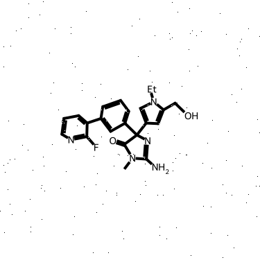 CCn1cc(C2(c3cccc(-c4cccnc4F)c3)N=C(N)N(C)C2=O)cc1CO